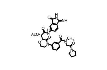 CC(=O)O[C@@H](C(=O)Nc1ccc2c(c1)C(=O)NC2=N)[C@H]1OCCN(c2cccc(C(=O)N(C)CC(=O)N3CCCC3)c2)C1=O